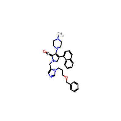 CN1CCN(C2=C(c3cccc4ccccc34)CN(Cc3cncn3CCCOCc3ccccc3)C2=C=O)CC1